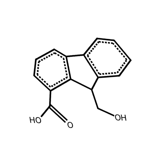 O=C(O)c1cccc2c1C(CO)c1ccccc1-2